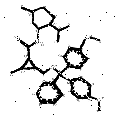 COc1ccc(C(OCC2C(C)C2C(=O)OC2CC(C)CCC2C(C)C)(c2ccccc2)c2ccc(OC)cc2)cc1